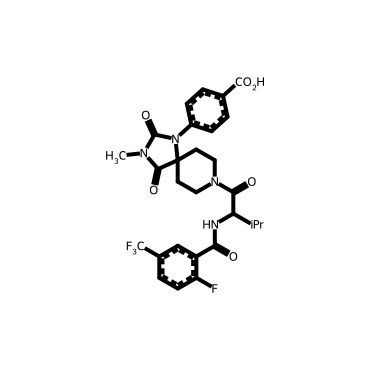 CC(C)C(NC(=O)c1cc(C(F)(F)F)ccc1F)C(=O)N1CCC2(CC1)C(=O)N(C)C(=O)N2c1ccc(C(=O)O)cc1